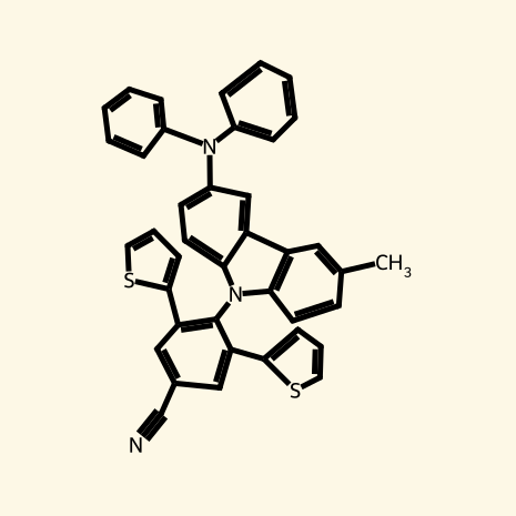 Cc1ccc2c(c1)c1cc(N(c3ccccc3)c3ccccc3)ccc1n2-c1c(-c2cccs2)cc(C#N)cc1-c1cccs1